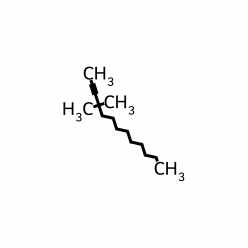 CC#CC(C)(C)CCCCCCCCC